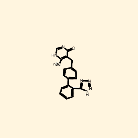 CCCCc1[nH]cnc(=O)c1Cc1ccc(-c2ccccc2-c2nnn[nH]2)cc1